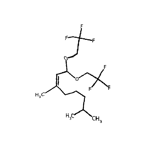 CC(=CC(OCC(F)(F)F)OCC(F)(F)F)CCCC(C)C